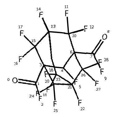 O=C(F)C12C(F)C3(C(=O)F)C(F)(F)C(F)(C1(F)F)C(F)(F)C(F)(C2(F)F)C3(F)F